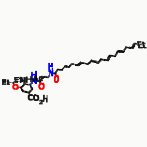 CCC=CCC=CCC=CCC=CCC=CCC=CCCC(=O)NCCC(=O)NC1CC(C(=O)O)=CC(OC(CC)CC)C1NC(C)=O